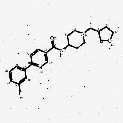 O=C(NC1CCN(CC2CCOC2)CC1)c1ccc(-c2cccc(F)c2)nc1